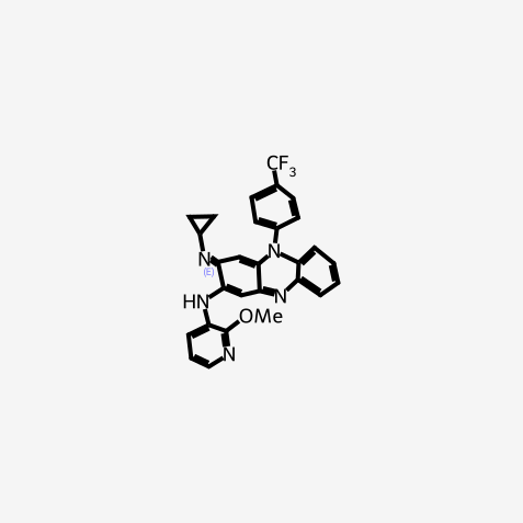 COc1ncccc1Nc1cc2nc3ccccc3n(-c3ccc(C(F)(F)F)cc3)c-2c/c1=N\C1CC1